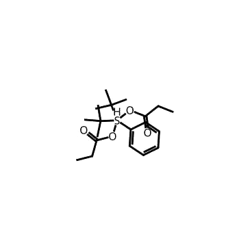 CCC(=O)O[SH](OC(=O)CC)(c1ccccc1)(C(C)(C)C)C(C)(C)C